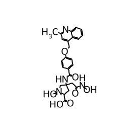 Cc1cc(COc2ccc(C(=O)NC3(CC(=O)NO)CC(C(=O)O)N(O)C3)cc2)c2ccccc2n1